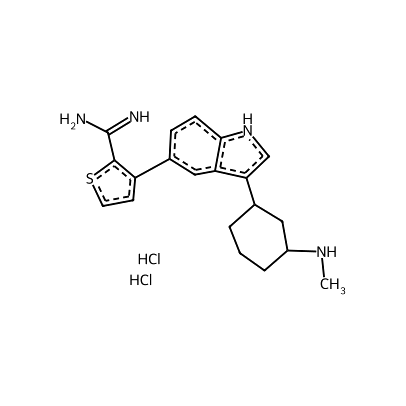 CNC1CCCC(c2c[nH]c3ccc(-c4ccsc4C(=N)N)cc23)C1.Cl.Cl